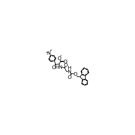 COC(=O)C(NC(=O)CNC(=O)OCC1c2ccccc2-c2ccccc21)C(=O)c1ccc(N(C)C)cc1